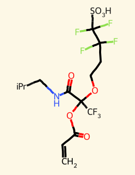 C=CC(=O)OC(OCCC(F)(F)C(F)(F)S(=O)(=O)O)(C(=O)NCC(C)C)C(F)(F)F